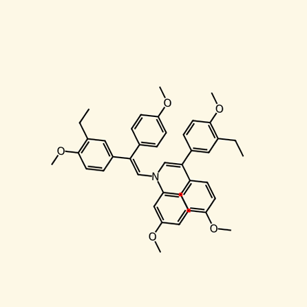 CCc1cc(/C(=C/N(/C=C(\c2ccc(OC)cc2)c2ccc(OC)c(CC)c2)c2cccc(OC)c2)c2ccc(OC)cc2)ccc1OC